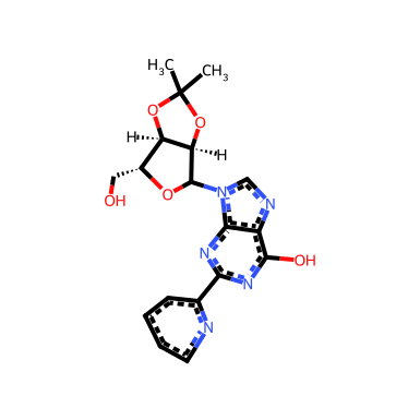 CC1(C)O[C@@H]2[C@@H](CO)OC(n3cnc4c(O)nc(-c5ccccn5)nc43)[C@@H]2O1